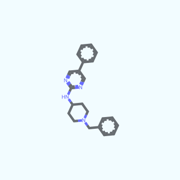 c1ccc(CN2CCC(Nc3ncc(-c4ccccc4)cn3)CC2)cc1